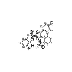 CS(=O)(=O)c1ccccc1-c1nc(S(=O)(=O)Cc2cccc(F)c2)sc1-c1ccc(F)cc1